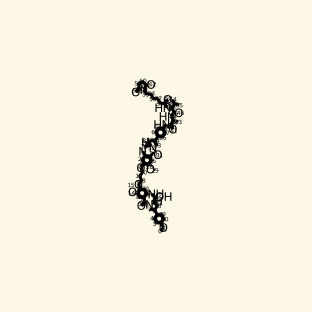 COc1ccc(C2=CN3C(=O)c4cc(OC)c(OCCCOc5cc6c(cc5OC)C(=O)N5C=C(c7ccc(NC(=O)[C@H](C)NC(=O)[C@@H](NC(=O)CCCCCN8C(=O)C=CC8=O)C(C)C)cc7)C[C@H]5C=N6)cc4NC(O)[C@@H]3C2)cc1